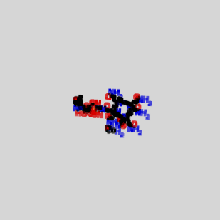 C/C1=C2/N=C([C@H](CC(N)=O)[C@@]2(C)CCC(=O)NC[C@@H](C)OP(=O)(O)O[C@H]2[C@@H](O)[C@@H](n3cnc4cc(C)c(C)cc43)O[C@@H]2CO)[C@]2(C)N=C(/C(C)=C3N=C(/C=C4N=C1[C@@H](CCC(N)=O)C\4(C)C)[C@@H](CCC(N)=O)[C@]\3(C)CC(N)=O)[C@@H](CCC(N)=O)[C@]2(C)CC(N)=O.[C-]#N.[Co]